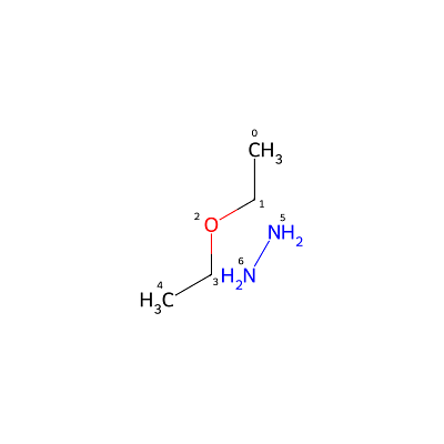 CCOCC.NN